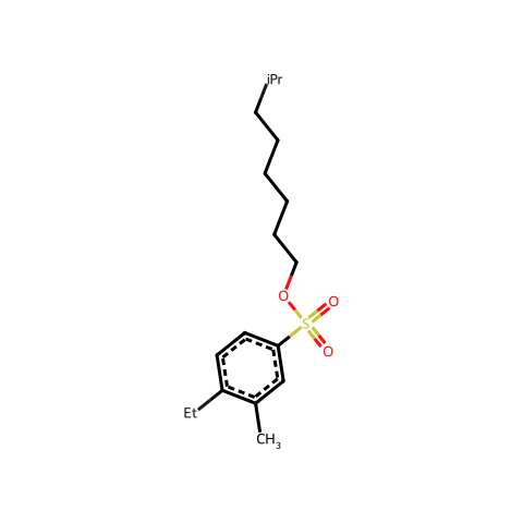 CCc1ccc(S(=O)(=O)OCCCCCCC(C)C)cc1C